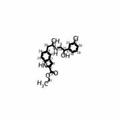 CCOC(=O)c1cc2cc(CC(C)NCC(O)c3cccc(Cl)c3)ccc2[nH]1